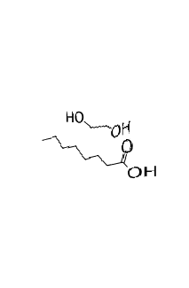 CCCCCCCC(=O)O.OCCO